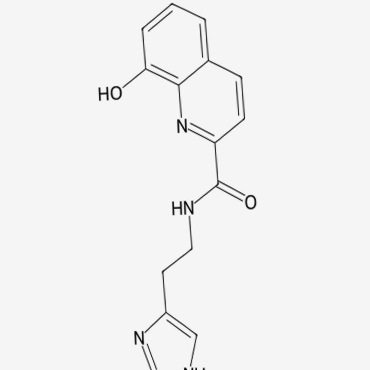 O=C(NCCc1c[nH]cn1)c1ccc2cccc(O)c2n1